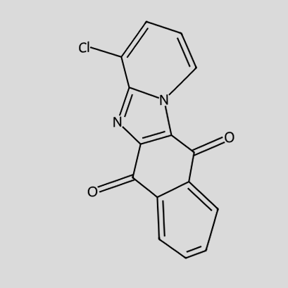 O=C1c2ccccc2C(=O)c2c1nc1c(Cl)cccn21